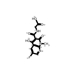 Cn1c(=O)c(C(=O)NCC(=O)O)c(O)c2cc(F)cnc21